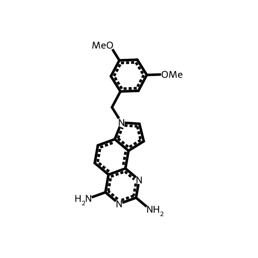 COc1cc(Cn2ccc3c4nc(N)nc(N)c4ccc32)cc(OC)c1